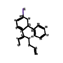 C=CCC/C(=C\C)C1=CC=C(I)CC1c1ccccc1